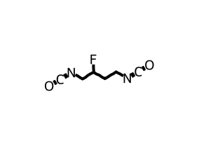 O=C=NCCC(F)CN=C=O